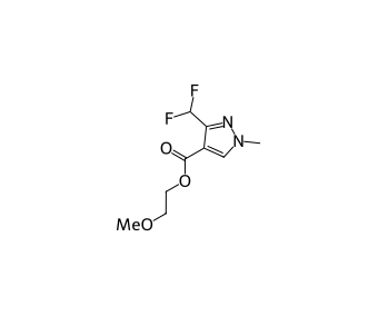 COCCOC(=O)c1cn(C)nc1C(F)F